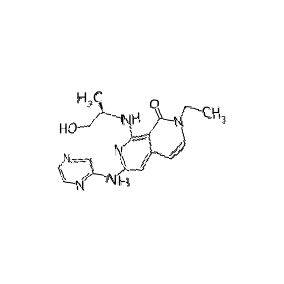 CCn1ccc2cc(Nc3cnccn3)nc(N[C@H](C)CO)c2c1=O